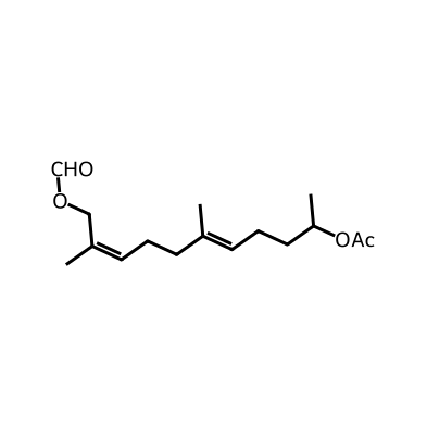 CC(=O)OC(C)CC/C=C(\C)CCC=C(C)COC=O